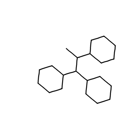 C[C](C1CCCCC1)C(C1CCCCC1)C1CCCCC1